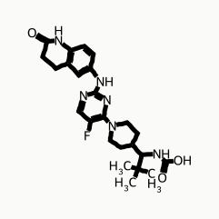 CC(C)(C)C(NC(=O)O)C1CCN(c2nc(Nc3ccc4c(c3)CCC(=O)N4)ncc2F)CC1